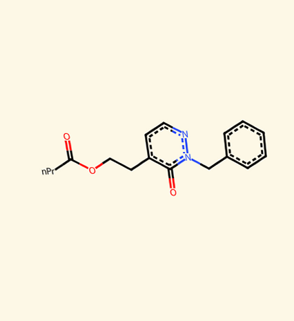 CCCC(=O)OCCc1ccnn(Cc2ccccc2)c1=O